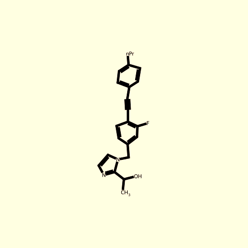 CCCc1ccc(C#Cc2ccc(Cn3ccnc3C(C)O)cc2F)cc1